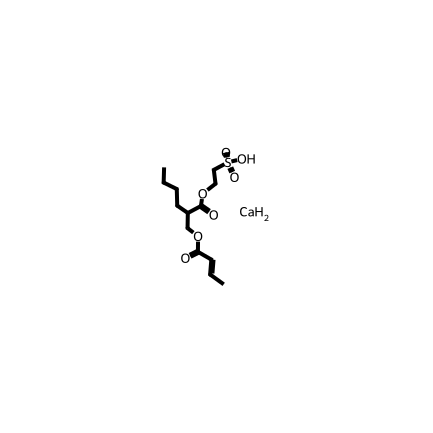 CC=CC(=O)OCC(CCCC)C(=O)OCCS(=O)(=O)O.[CaH2]